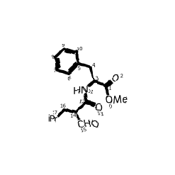 COC(=O)[C@H](Cc1ccccc1)NC(=O)[C@@H](C=O)CC(C)C